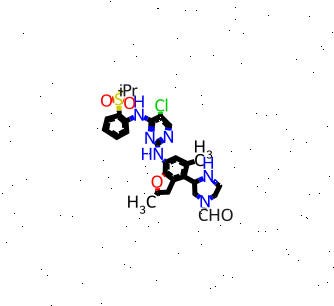 Cc1cc(Nc2ncc(Cl)c(Nc3ccccc3S(=O)(=O)C(C)C)n2)c2c(c1C1CN(C=O)CCN1)CC(C)O2